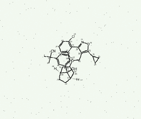 CC(C)(C#N)c1cccc(C2(O)[C@@H]3CC[C@H]2CC(OCc2c(-c4c(Cl)cccc4Cl)noc2C2CC2)C3)c1